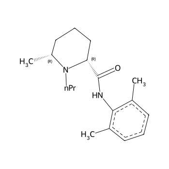 CCCN1[C@H](C)CCC[C@@H]1C(=O)Nc1c(C)cccc1C